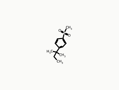 CCC(C)(C)c1ccc(S(C)(=O)=O)cc1